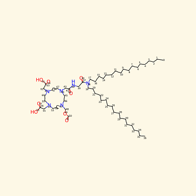 CCCCCCCCCCCCCCCCCCN(CCCCCCCCCCCCCCCCCC)C(=O)CNC(=O)CN1CCN(COC=O)CCN(CC(=O)O)CCN(CC(=O)O)CC1